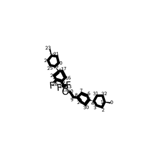 C[C@H]1CC[C@H](c2ccc(CCOC(F)(F)c3ccc([C@H]4CC[C@H](C)CC4)cc3F)cc2)CC1